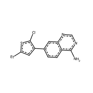 CCc1cc(-c2ccc3c(N)ncnc3c2)c(Cl)s1